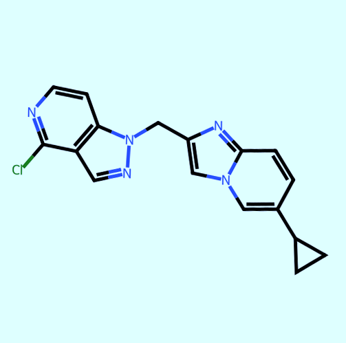 Clc1nccc2c1cnn2Cc1cn2cc(C3CC3)ccc2n1